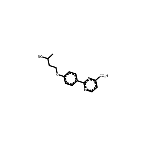 CC(C#N)CCOc1ccc(-c2nccc(C(=O)O)n2)cc1